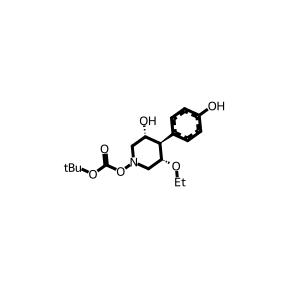 CCO[C@@H]1CN(OC(=O)OC(C)(C)C)C[C@H](O)[C@H]1c1ccc(O)cc1